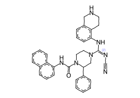 N#C/N=C(/Nc1cccc2c1CCNC2)N1CCN(C(=O)Nc2cccc3ccccc23)C(c2ccccc2)C1